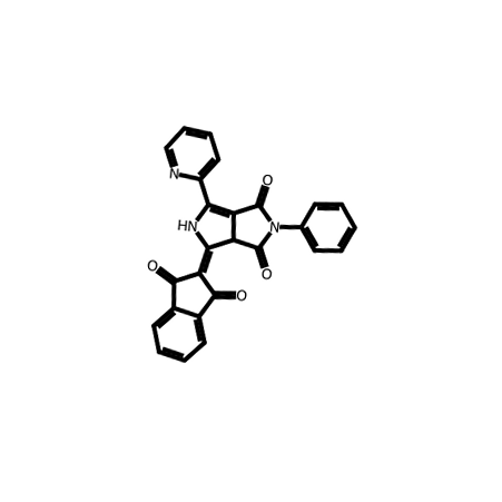 O=C1C(=C2NC(c3ccccn3)=C3C(=O)N(c4ccccc4)C(=O)C23)C(=O)c2ccccc21